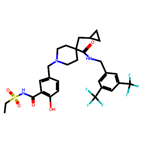 CCS(=O)(=O)NC(=O)c1cc(CN2CCC(CC3CC3)(C(=O)NCc3cc(C(F)(F)F)cc(C(F)(F)F)c3)CC2)ccc1O